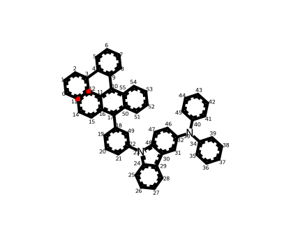 c1ccc(-c2ccccc2-c2c3ccccc3c(-c3cccc(-n4c5ccccc5c5cc(N(c6ccccc6)c6ccccc6)ccc54)c3)c3ccccc23)cc1